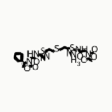 C[C@@H]1COC(=O)N1CC(=O)Nc1nnc(CCSCCc2nnc(NC(=O)CN3C(=O)OC[C@H]3c3ccccc3)s2)s1